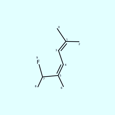 CC(C)=C/C=C(/C)C(C)F